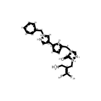 NCC(Cn1ncn(Cc2ccc(-c3cnn(Cc4ccccc4)c3)s2)c1=O)=C(F)F